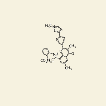 Cc1cc(C(C)Nc2ccccc2C(=O)O)c2oc(-c3ccc(-c4cn(C)cn4)nc3)c(C)c(=O)c2c1